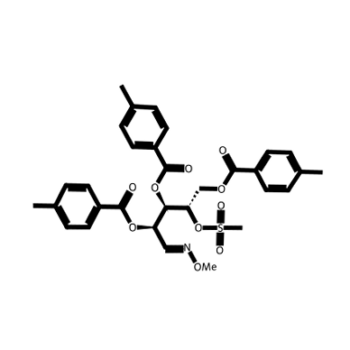 CO/N=C/[C@@H](OC(=O)c1ccc(C)cc1)[C@@H](OC(=O)c1ccc(C)cc1)[C@H](COC(=O)c1ccc(C)cc1)OS(C)(=O)=O